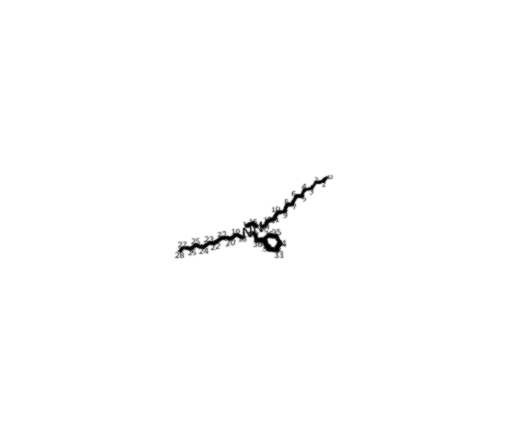 CCCCCCCCCCCCCCN1C=CN(CCCCCCCCCCC)C1Cc1ccccc1